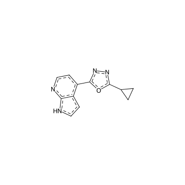 c1cc(-c2nnc(C3CC3)o2)c2cc[nH]c2n1